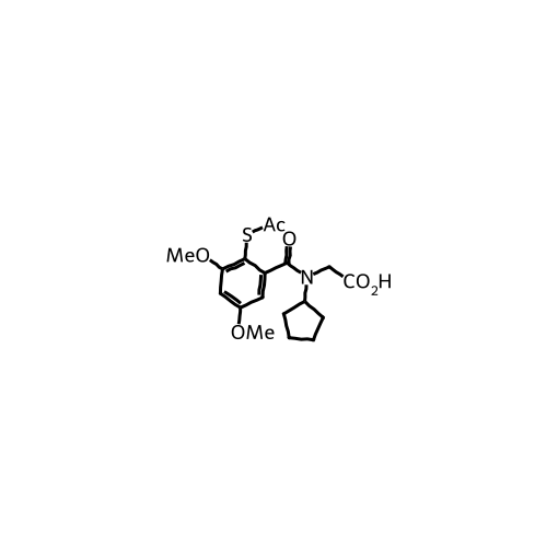 COc1cc(OC)c(SC(C)=O)c(C(=O)N(CC(=O)O)C2CCCC2)c1